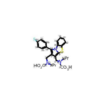 CC(C)N(Cc1c(CN(C(=O)O)C(C)C)c2sc3ccccc3n2c1-c1ccc(F)cc1)C(=O)O